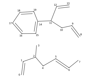 C=CC(C)CC=CC.C=CCC(C=C)c1ccccc1